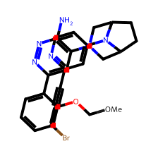 COCOc1ccccc1-c1cc(N2CC3CCC(C2)N3c2ccnc(C#CCBr)c2)c(N)nn1